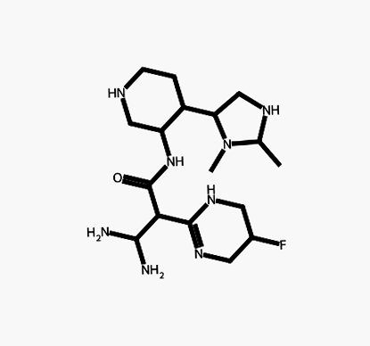 CC1NCC(C2CCNCC2NC(=O)C(C2=NCC(F)CN2)C(N)N)N1C